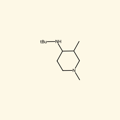 CC1CN(C)CCC1NC(C)(C)C